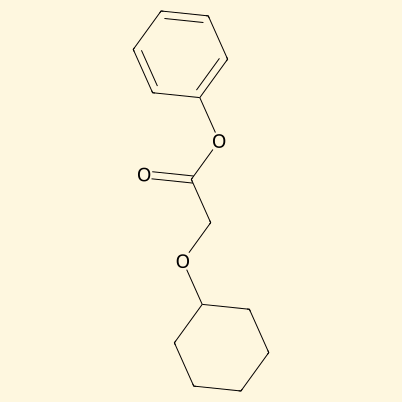 O=C(COC1CCCCC1)Oc1ccccc1